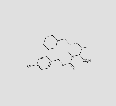 CC(OCCC1CCCCC1)C(C(=O)O)N(C)C(=O)OCc1ccc([N+](=O)[O-])cc1